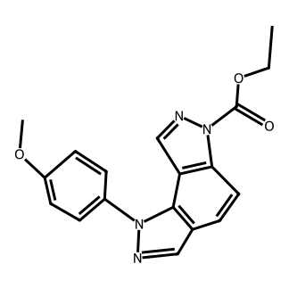 CCOC(=O)n1ncc2c1ccc1cnn(-c3ccc(OC)cc3)c12